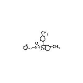 Cc1ccc(-c2c(C(=O)NCCc3cccs3)oc3ccc(C)cc23)cc1